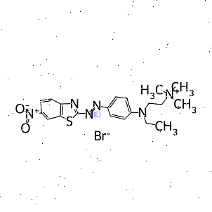 CCN(CC[N+](C)(C)C)c1ccc(/N=N/c2nc3ccc([N+](=O)[O-])cc3s2)cc1.[Br-]